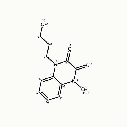 Cn1c(=O)c(=O)n(CCCO)c2ccccc21